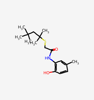 Cc1ccc(O)c(NC(=O)CSC(C)(C)CC(C)(C)C)c1